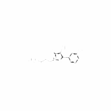 CCCCn1sc(-c2cccc(Cl)c2)c(Cl)c1=O